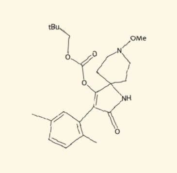 CON1CCC2(CC1)NC(=O)C(c1cc(C)ccc1C)=C2OC(=O)OCC(C)(C)C